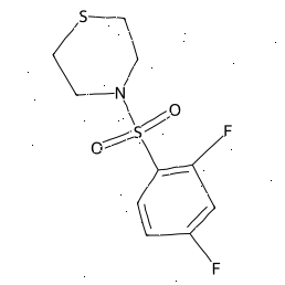 O=S(=O)(c1ccc(F)cc1F)N1CCSCC1